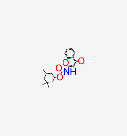 CC1CC(OC(=O)Nc2cc(=O)c3ccccc3o2)CC(C)(C)C1